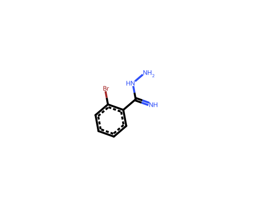 N=C(NN)c1ccccc1Br